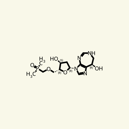 CP(C)(=O)COC[C@H]1O[C@@H](n2cnc3c2N=CNC[C@H]3O)C[C@@H]1O